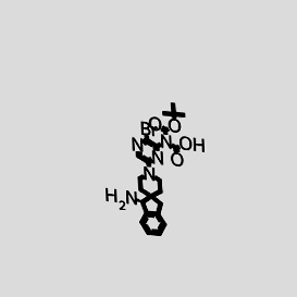 CC(C)(C)OC(=O)N(C(=O)O)c1nc(N2CCC3(CC2)Cc2ccccc2[C@H]3N)cnc1Br